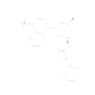 C[C@H]1C[C@@H](NC(=O)C(C)(C)N2CCCCC2)CN(c2ccc(C(F)(F)F)c3ncccc23)C1